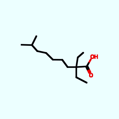 CCC(CC)(CCCCCC(C)C)C(=O)O